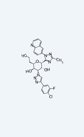 Cc1nc([C@@H]2O[C@H](CCO)[C@H](O)[C@H](n3cc(-c4ccc(Cl)c(F)c4)nn3)[C@H]2O)n(-c2ccc3ncccc3c2)n1